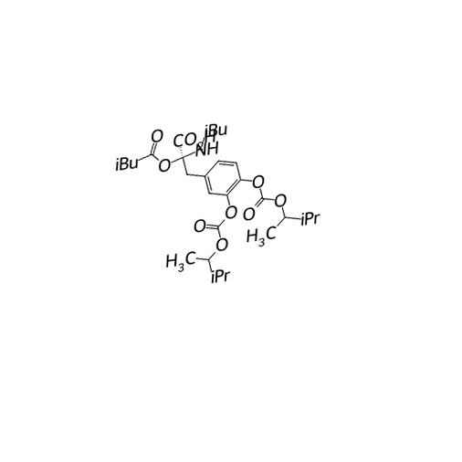 CCC(C)N[C@@](Cc1ccc(OC(=O)OC(C)C(C)C)c(OC(=O)OC(C)C(C)C)c1)(OC(=O)C(C)CC)C(=O)O